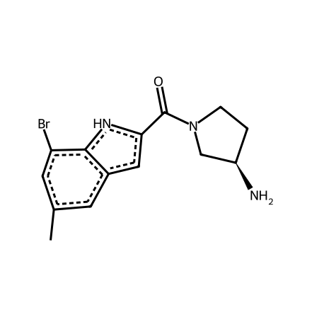 Cc1cc(Br)c2[nH]c(C(=O)N3CC[C@@H](N)C3)cc2c1